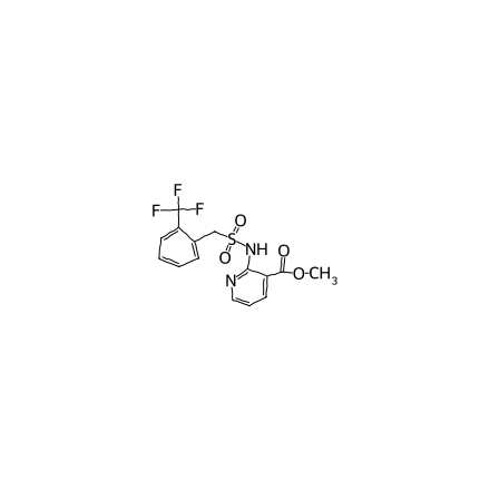 COC(=O)c1cccnc1NS(=O)(=O)Cc1ccccc1C(F)(F)F